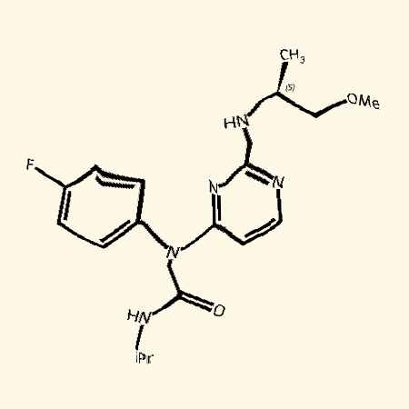 COC[C@H](C)Nc1nccc(N(C(=O)NC(C)C)c2ccc(F)cc2)n1